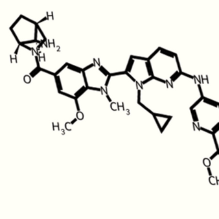 COC(=O)c1ncc(Nc2ccc3cc(-c4nc5cc(C(=O)N6C[C@H]7CC[C@@H]6[C@@H]7N)cc(OC)c5n4C)n(CC4CC4)c3n2)cn1